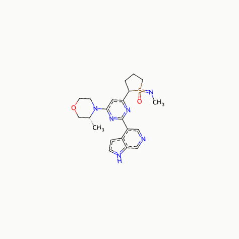 CN=S1(=O)CCCC1c1cc(N2CCOC[C@H]2C)nc(-c2cncc3[nH]ccc23)n1